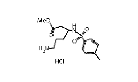 COC(=O)CC(CCCN)NS(=O)(=O)c1ccc(C)cc1.Cl